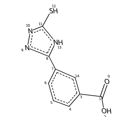 O=C(O)c1cccc(-c2nnc(S)[nH]2)c1